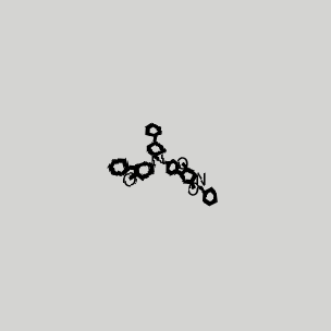 c1ccc(-c2ccc(N(c3ccc4c(c3)oc3cc5nc(-c6ccccc6)oc5cc34)c3ccc4oc5ccccc5c4c3)cc2)cc1